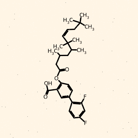 CC(CC(=O)Oc1ccc(-c2ccc(F)cc2F)cc1C(=O)O)CC(C)C(C)(C)/C=C\CC(C)(C)C